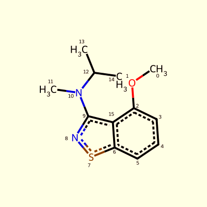 COc1cccc2snc(N(C)C(C)C)c12